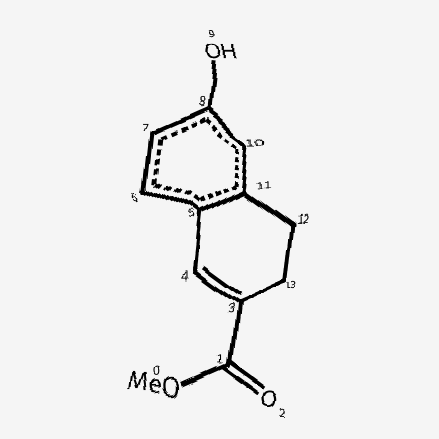 COC(=O)C1=Cc2ccc(O)cc2CC1